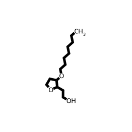 CCCCCCCCOC1CCOC1CCO